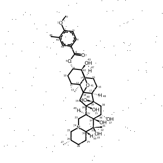 COc1ccc(C(=O)O[C@H]2CC[C@@]3(C)[C@@H]4CC[C@@H]5C3(C[C@@]3(O)[C@@H]6CN7C[C@@H](C)CC[C@H]7[C@@](C)(O)[C@@]6(O)[C@@H](O)C[C@@]53O)O[C@]24O)cc1C